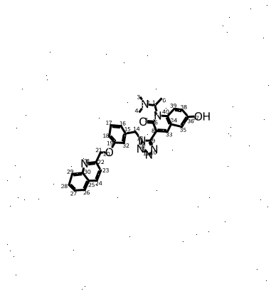 CC(N(C)C)n1c(=O)c(-c2nnnn2Cc2cccc(OCc3ccc4ccccc4n3)c2)cc2cc(O)ccc21